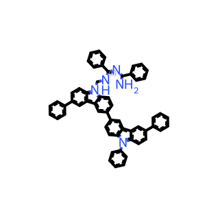 NC(/N=C(\NCn1c2ccc(-c3ccccc3)cc2c2cc(-c3ccc4c(c3)c3cc(-c5ccccc5)ccc3n4-c3ccccc3)ccc21)c1ccccc1)c1ccccc1